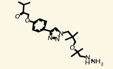 CC(C)C(=O)COc1ccc(-c2cn(CC(C)(C)COC(C)(C)CNN)nn2)cc1